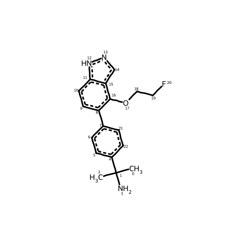 CC(C)(N)c1ccc(-c2ccc3[nH]ncc3c2OCCF)cc1